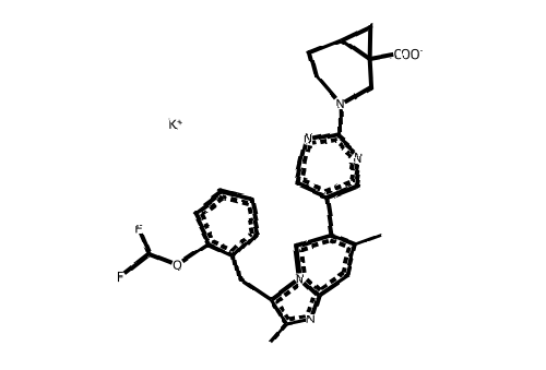 Cc1cc2nc(C)c(Cc3ccccc3OC(F)F)n2cc1-c1cnc(N2CCC3CC3(C(=O)[O-])C2)nc1.[K+]